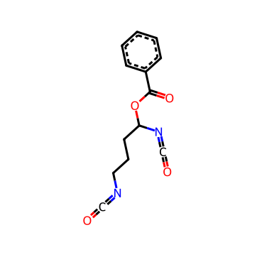 O=C=NCCCC(N=C=O)OC(=O)c1ccccc1